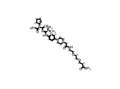 C=C(/N=C(/Nc1ccc(N2CCN(CC(=O)NCCOCCOCCC(N)=O)CC2)cn1)N(C)C)N(C(=O)CCC)C1CCCC1